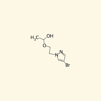 CC(O)OCCn1cc(Br)cn1